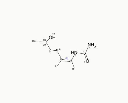 C/C(NC(N)=O)=C(\C)SC[C@H](C)O